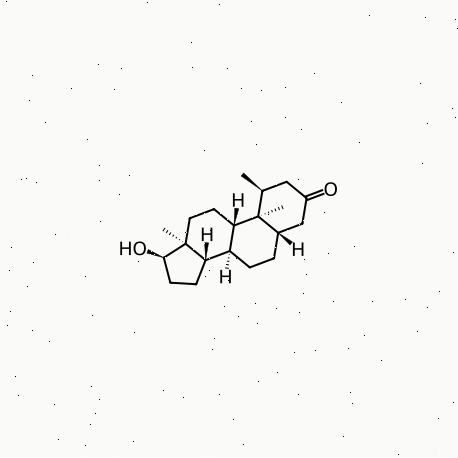 C[C@H]1CC(=O)C[C@@H]2CC[C@H]3[C@@H]4CC[C@@H](O)[C@@]4(C)CC[C@@H]3[C@]21C